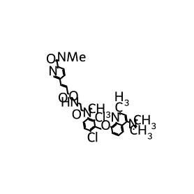 CNC(=O)c1ccc(/C=C/C(=O)ONCC(=O)N(C)c2ccc(Cl)c(COc3cccc4c(N(C)C)cc(C)nc34)c2Cl)cn1